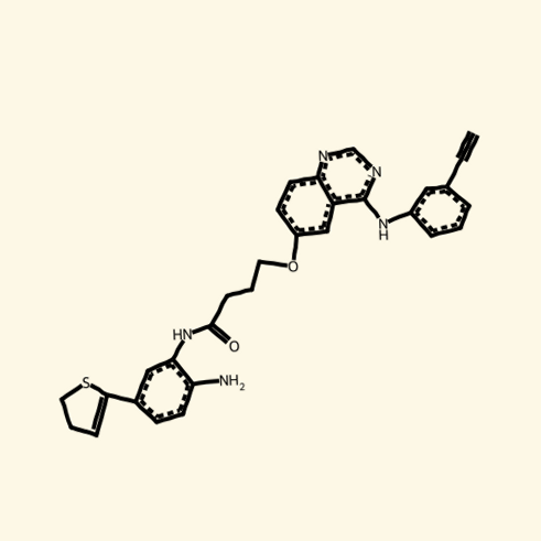 C#Cc1cccc(Nc2ncnc3ccc(OCCCC(=O)Nc4cc(C5=CCCS5)ccc4N)cc23)c1